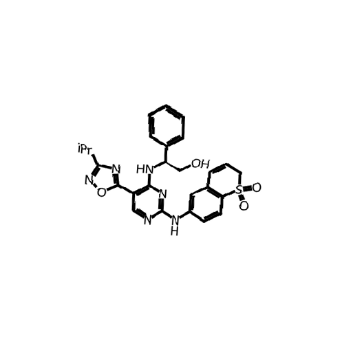 CC(C)c1noc(-c2cnc(Nc3ccc4c(c3)C=CCS4(=O)=O)nc2N[C@H](CO)c2ccccc2)n1